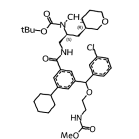 COC(=O)NCCOC(c1cccc(Cl)c1)c1cc(C(=O)NC[C@H](C[C@H]2CCCOC2)N(C)C(=O)OC(C)(C)C)cc(C2CCCCC2)c1